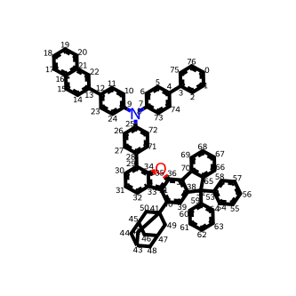 c1ccc(-c2ccc(N(c3ccc(-c4ccc5ccccc5c4)cc3)c3ccc(-c4cccc5c4oc4c6c(cc(C78CC9CC(CC(C9)C7)C8)c45)C(c4ccccc4)(c4ccccc4)c4ccccc4-6)cc3)cc2)cc1